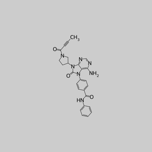 CC#CC(=O)N1CCC(n2c(=O)n(-c3ccc(C(=O)Nc4ccccc4)cc3)c3c(N)ncnc32)C1